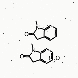 CN1C(=O)Cc2ccccc21.CN1C(=O)Cc2ccccc21.O